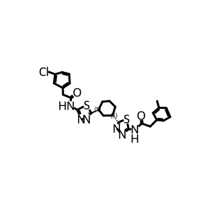 Cc1cccc(CC(=O)Nc2nnc([C@H]3CCC[C@H](c4nnc(NC(=O)Cc5cccc(Cl)c5)s4)C3)s2)c1